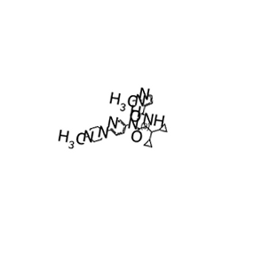 CN1CCN(c2ccc(NC(=O)[C@@H](NC(=O)c3ccnn3C)C(C3CC3)C3CC3)cn2)CC1